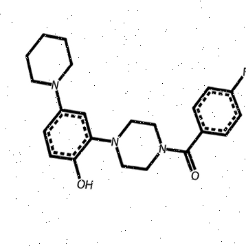 O=C(c1ccc(F)cc1)N1CCN(c2cc(N3CCCCC3)ccc2O)CC1